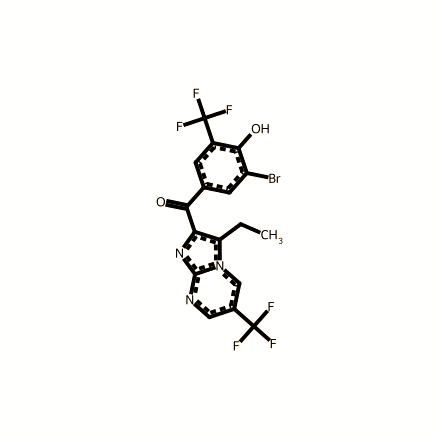 CCc1c(C(=O)c2cc(Br)c(O)c(C(F)(F)F)c2)nc2ncc(C(F)(F)F)cn12